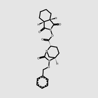 O=C(ON1C(=O)[C@H]2CCCC[C@H]2C1=O)[C@@H]1CC[C@@H]2CN1C(=O)N2OCc1ccccc1